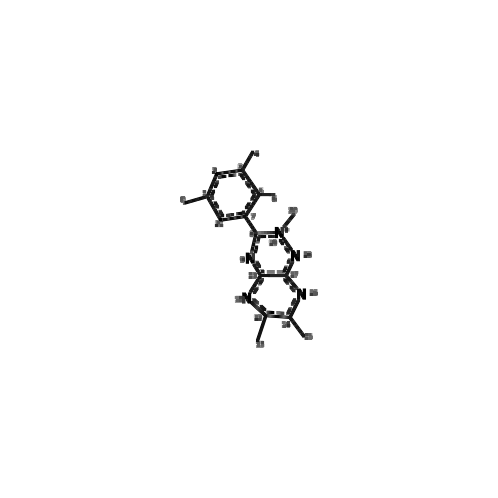 Cc1cc(C)c(C)c(-c2nc3nc(C)c(C)nc3n[n+]2C)c1